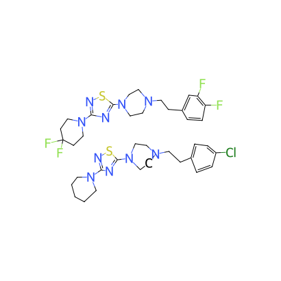 Clc1ccc(CCN2CCN(c3nc(N4CCCCC4)ns3)CC2)cc1.Fc1ccc(CCN2CCN(c3nc(N4CCC(F)(F)CC4)ns3)CC2)cc1F